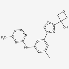 Cc1cc(Nc2nccc(C(F)(F)F)n2)cc(-c2cnc(C3(O)COC3)s2)c1